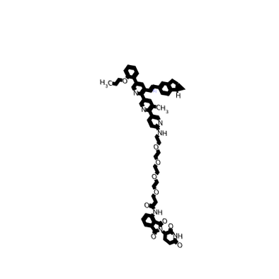 CCCOc1ccccc1-c1cnc(-c2cnc(-c3ccc(NCCOCCOCCOCCOCCC(=O)Nc4cccc5c4C(=O)N(C4CCC(=O)NC4=O)C5=O)nc3)c(C)c2)c(/C=C/c2ccc3c(c2)CC2C[C@H]32)c1